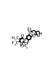 CCC(CC1CCOC1)(Sc1cc(-n2c(=O)c(C)c(C(F)(F)F)n(C)c2=O)c(F)cc1Cl)C(=O)O